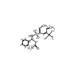 C=CC(=C/C(=C\C)S(=O)(=O)NC(CC(N)=O)c1ccccc1)C(F)(F)F